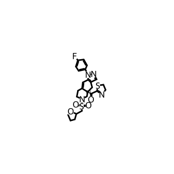 O=C(C1=NCCS1)[C@]12Cc3cnn(-c4ccc(F)cc4)c3C=C1CCN(S(=O)(=O)CC1CCCO1)C2